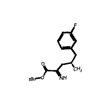 C[C@@H](CC(=N)C(=O)OC(C)(C)C)Cc1cccc(F)c1